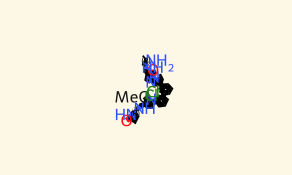 COc1nc(-c2cccc(-c3cccc(-c4ccn5c(=O)c(CNC[C@@H](C)N)cnc5c4)c3Cl)c2Cl)ccc1CNC[C@H]1CCC(=O)N1